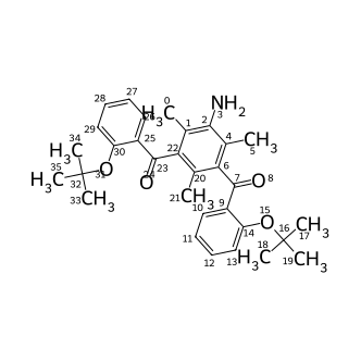 Cc1c(N)c(C)c(C(=O)c2ccccc2OC(C)(C)C)c(C)c1C(=O)c1ccccc1OC(C)(C)C